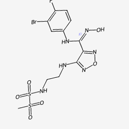 CS(=O)(=O)S(=O)(=O)NCCNc1nonc1/C(=N\O)Nc1ccc(F)c(Br)c1